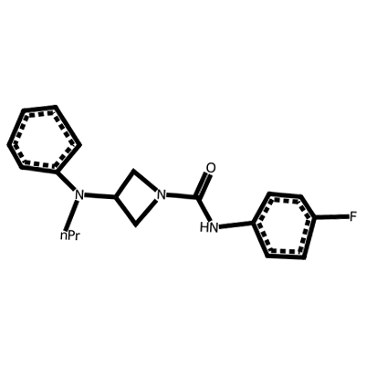 CCCN(c1ccccc1)C1CN(C(=O)Nc2ccc(F)cc2)C1